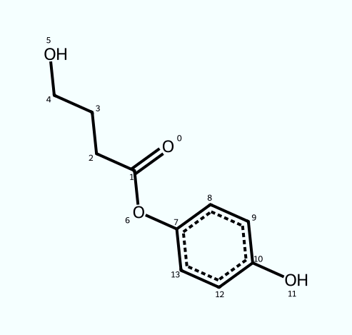 O=C(CCCO)Oc1ccc(O)cc1